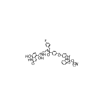 O=C(N[C@@H](c1ccccc1)c1cccc(OCc2ccc(C(=O)N(CCCNCC(O)c3ccc(O)c4[nH]c(=O)ccc34)Cc3ccc(F)cc3)cc2)c1)OC1CN2CCC1CC2